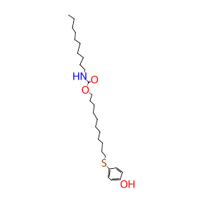 CCCCCCCCCCNC(=O)OCCCCCCCCCCCSc1ccc(O)cc1